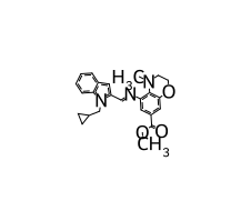 COC(=O)c1cc(/N=C/c2cc3ccccc3n2CC2CC2)c2c(c1)OCCN2C